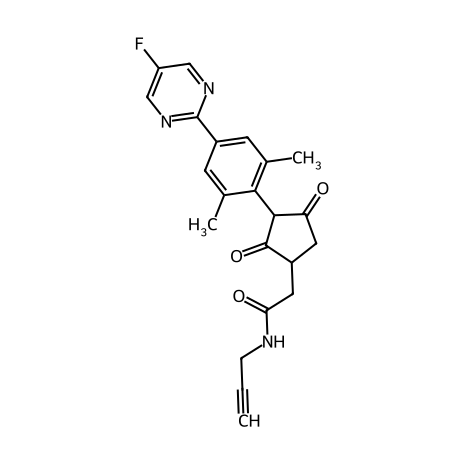 C#CCNC(=O)CC1CC(=O)C(c2c(C)cc(-c3ncc(F)cn3)cc2C)C1=O